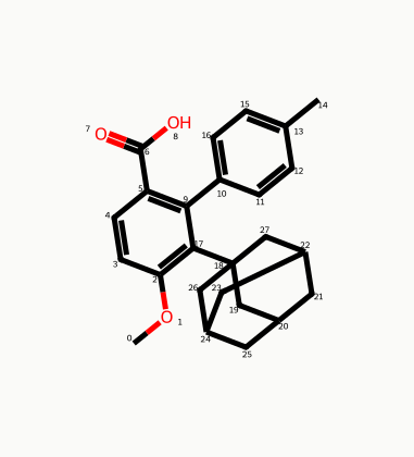 COc1ccc(C(=O)O)c(-c2ccc(C)cc2)c1C12CC3CC(CC(C3)C1)C2